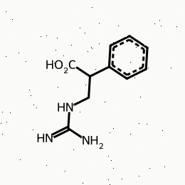 N=C(N)NCC(C(=O)O)c1ccccc1